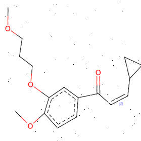 COCCCOc1cc(C(=O)/C=C\C2CC2)ccc1OC